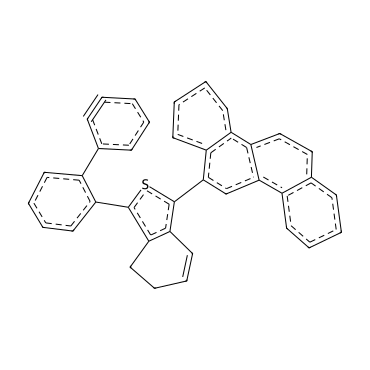 c1cccc(-c2ccccc2-c2sc(-c3cc4c5ccccc5ccc4c4ccccc34)c3c2CCC=C3)c#1